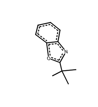 CC(C)(C)c1nc2ccccc2o1